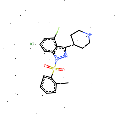 Cc1ccccc1S(=O)(=O)n1nc(C2CCNCC2)c2c(F)cccc21.Cl